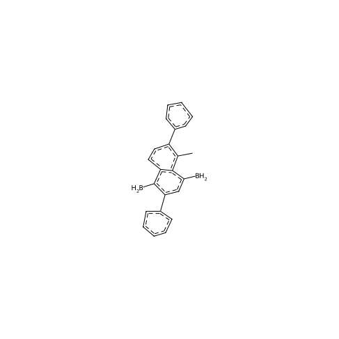 Bc1c(-c2ccccc2)cc(B)c2c(C)c(-c3ccccc3)ccc12